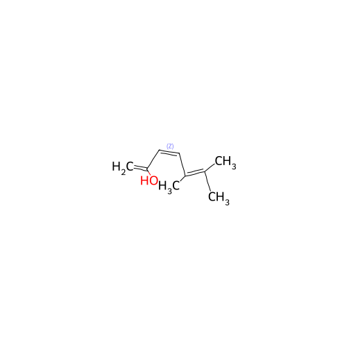 C=C(O)/C=C\C(C)=C(C)C